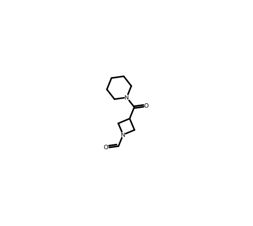 O=CN1CC(C(=O)N2CCCCC2)C1